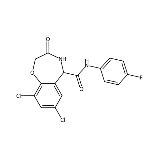 O=C1COc2c(Cl)cc(Cl)cc2C(C(=O)Nc2ccc(F)cc2)N1